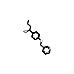 CCCC(O)c1ccc(OCc2cccnc2)cc1